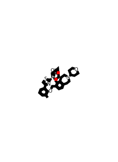 Cc1cccc(-c2csc(N3CC[C@@]4(C(=O)O)C[C@H]4C3)n2)c1OCc1ccc2c(c1C)CCN(C1CCOCC1)CC2